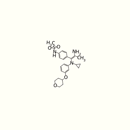 C/C(N)=C(/c1ccc(NS(C)(=O)=O)cc1)N(c1cccc(OC2CCOCC2)c1)C1CC1